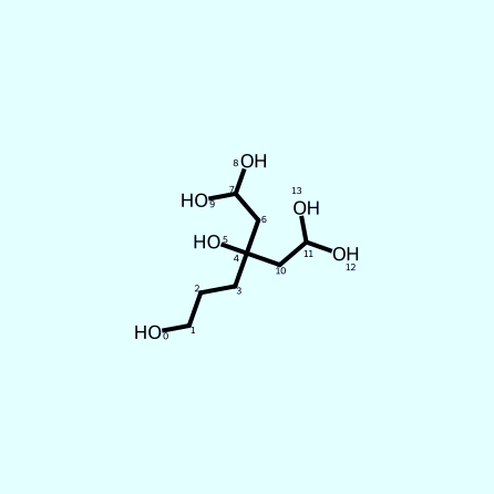 OCCCC(O)(CC(O)O)CC(O)O